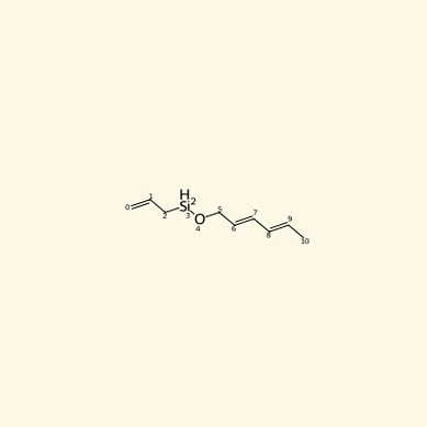 C=CC[SiH2]OCC=CC=CC